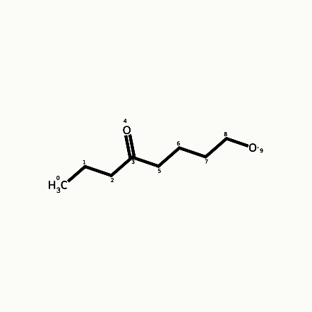 CCCC(=O)CCCC[O]